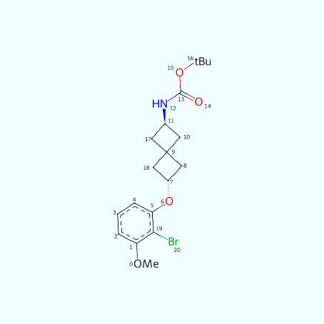 COc1cccc(O[C@H]2CC3(C[C@H](NC(=O)OC(C)(C)C)C3)C2)c1Br